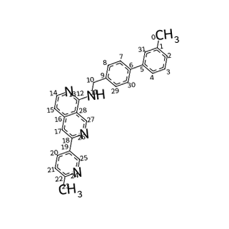 Cc1cccc(-c2ccc(CNc3nccc4cc(-c5ccc(C)nc5)ncc34)cc2)c1